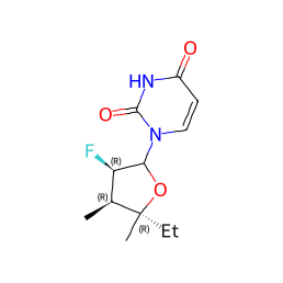 CC[C@@]1(C)OC(n2ccc(=O)[nH]c2=O)[C@H](F)[C@@H]1C